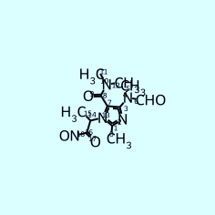 Cc1nc(N(C)C=O)c(C(=O)N(C)C)n1C(C)C(=O)N=O